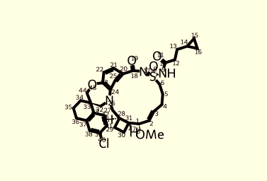 CO[C@H]1/C=C/CCC[S@@](=O)(NC(=O)CCC2CC2)=NC(=O)c2ccc3c(c2)N(C[C@@H]2CC[C@H]21)C[C@@]1(CCCc2cc(Cl)ccc21)CO3